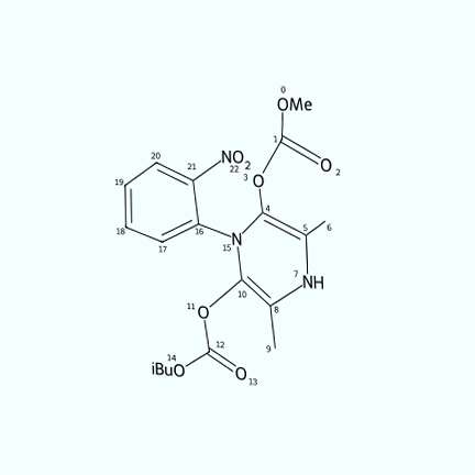 COC(=O)OC1=C(C)NC(C)=C(OC(=O)OCC(C)C)N1c1ccccc1[N+](=O)[O-]